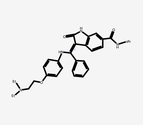 CCCNC(=O)c1ccc2c(c1)NC(=O)/C2=C(\Nc1ccc(OCCN(CC)CC)cc1)c1ccccc1